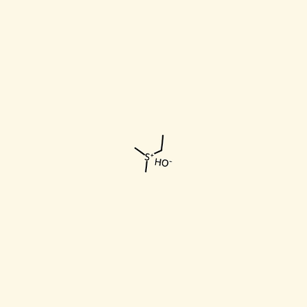 CC[S+](C)C.[OH-]